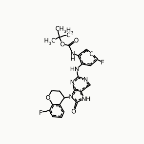 CC(C)(C)OC(=O)Nc1ccc(F)cc1Nc1ncc2[nH]c(=O)n(C3CCOc4c(F)cccc43)c2n1